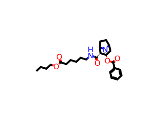 CCCCOC(=O)CCCCCNC(=O)[C@@H]1C2CCC(C[C@@H]1OC(=O)c1ccccc1)N2C